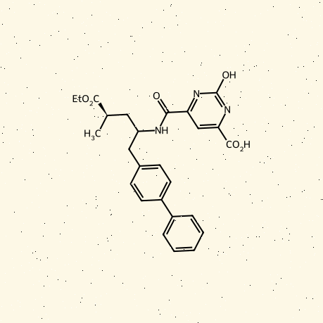 CCOC(=O)[C@H](C)CC(Cc1ccc(-c2ccccc2)cc1)NC(=O)c1cc(C(=O)O)nc(O)n1